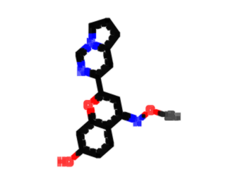 CC(C)(C)ON=c1cc(-c2cc3cccn3cn2)oc2cc(O)ccc12